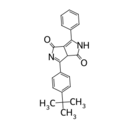 CC(C)(C)c1ccc(C2=NC(=O)C3=C(c4ccccc4)NC(=O)C23)cc1